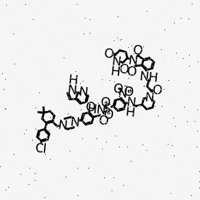 CC1(C)CCC(CN2CCN(c3ccc(C(=O)NS(=O)(=O)c4ccc(NCC5CCCN(C(=O)CCNc6cccc7c6C(=O)N(C6CCC(=O)NC6=O)C7=O)C5)c([N+](=O)[O-])c4)c(Oc4cnc5[nH]ccc5c4)c3)CC2)=C(c2ccc(Cl)cc2)C1